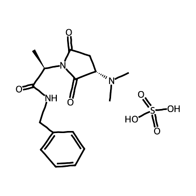 C[C@H](C(=O)NCc1ccccc1)N1C(=O)C[C@H](N(C)C)C1=O.O=S(=O)(O)O